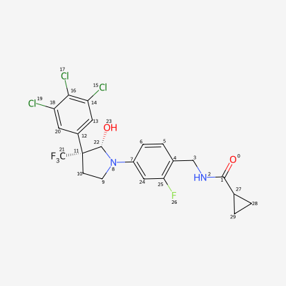 O=C(NCc1ccc(N2CC[C@](c3cc(Cl)c(Cl)c(Cl)c3)(C(F)(F)F)[C@@H]2O)cc1F)C1CC1